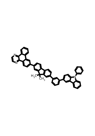 CC1(C)c2cc(-c3cccc(-c4ccc5c(c4)c4ccccc4n5-c4ccccc4)c3)ccc2-c2ccc(-c3ccc4c(c3)c3ccccc3c3nccnc43)cc21